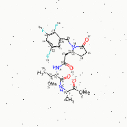 COC(=O)[C@H](C)NC(=O)[C@@H](NC(=O)C[C@@H]1CCC(=O)N1Cc1cc(F)cc(F)c1F)[C@@H](C)OC